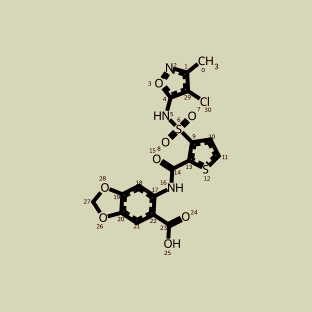 Cc1noc(NS(=O)(=O)c2ccsc2C(=O)Nc2cc3c(cc2C(=O)O)OCO3)c1Cl